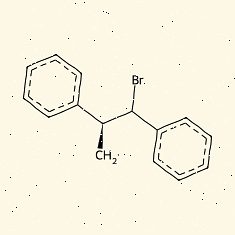 [CH2][C@@H](c1ccccc1)C(Br)c1ccccc1